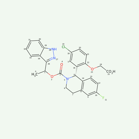 CC(OC(=O)N1CCc2cc(F)ccc2[C@H]1c1cc(Cl)ccc1OCC(=O)O)c1n[nH]c2ccccc12